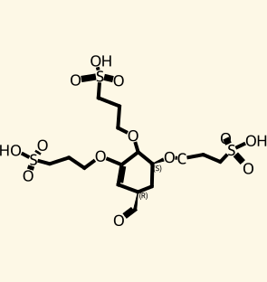 O=C[C@H]1C=C(OCCCS(=O)(=O)O)C(OCCCS(=O)(=O)O)[C@@H](OCCCS(=O)(=O)O)C1